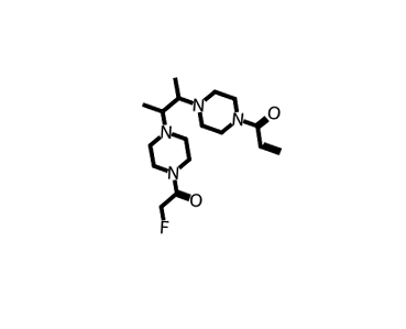 C=CC(=O)N1CCN(C(C)C(C)N2CCN(C(=O)CF)CC2)CC1